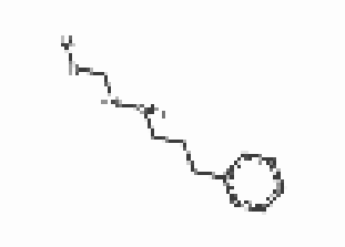 CCNCN[SiH2]CCCc1ccccc1